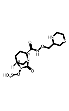 O=C(NOCC1CSCCN1)[C@@H]1CC[C@@H]2CN1C(=O)N2OS(=O)(=O)O